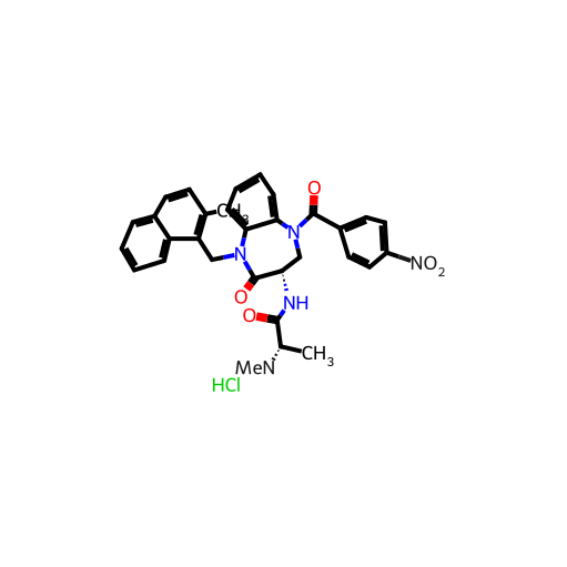 CN[C@@H](C)C(=O)N[C@H]1CN(C(=O)c2ccc([N+](=O)[O-])cc2)c2ccccc2N(Cc2c(C)ccc3ccccc23)C1=O.Cl